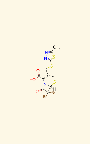 Cc1nnc(SCC2=C(C(=O)O)N3C(=O)C(Br)(Br)[C@@H]3SC2)s1